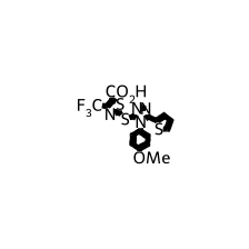 COc1ccc(-n2c(Sc3nc(C(F)(F)F)c(C(=O)O)s3)nnc2-c2cccs2)cc1